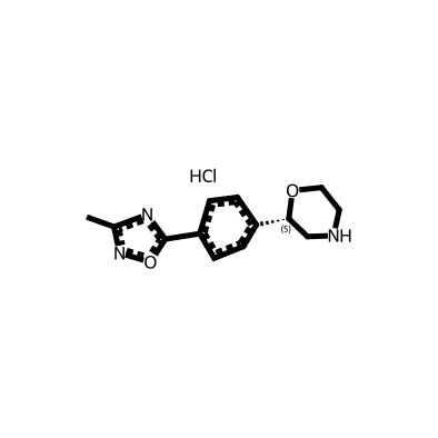 Cc1noc(-c2ccc([C@H]3CNCCO3)cc2)n1.Cl